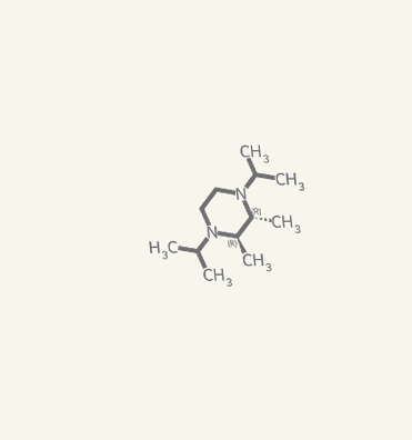 CC(C)N1CCN(C(C)C)[C@H](C)[C@H]1C